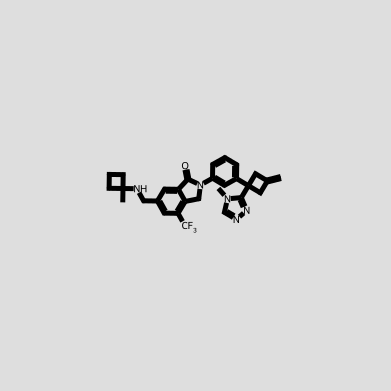 C=C1CC(c2cccc(N3Cc4c(cc(CNC5(C)CCC5)cc4C(F)(F)F)C3=O)c2)(c2nncn2C)C1